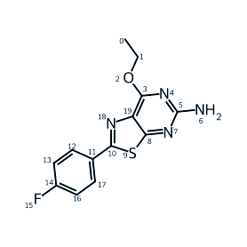 CCOc1nc(N)nc2sc(-c3ccc(F)cc3)nc12